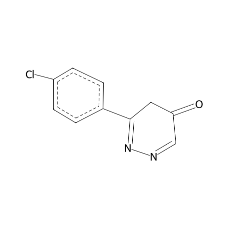 O=C1C=NN=C(c2ccc(Cl)cc2)C1